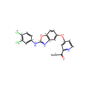 CNC(=O)c1cc(Oc2ccc3oc(Nc4ccc(Cl)c(Cl)c4)nc3c2)ccn1